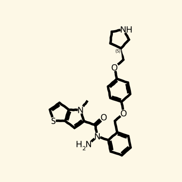 Cn1c(C(=O)N(N)c2ccccc2COc2ccc(OC[C@H]3CCNC3)cc2)cc2sccc21